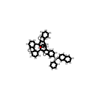 c1ccc(N(c2ccc3ccccc3c2)c2ccc3c(c2)oc2c(-c4cccc5oc6cccc(-c7cccc8c7oc7ccccc78)c6c45)cccc23)cc1